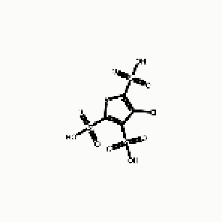 O=S(=O)(O)c1sc(S(=O)(=O)O)c(S(=O)(=O)O)c1Cl